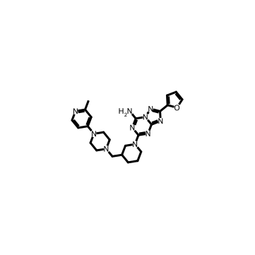 Cc1cc(N2CCN(CC3CCCN(c4nc(N)n5nc(-c6ccco6)nc5n4)C3)CC2)ccn1